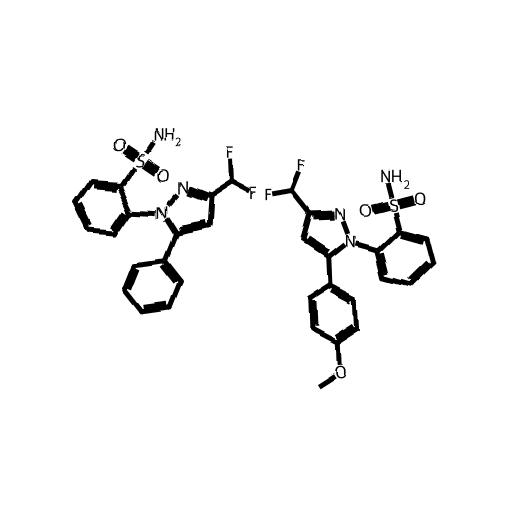 COc1ccc(-c2cc(C(F)F)nn2-c2ccccc2S(N)(=O)=O)cc1.NS(=O)(=O)c1ccccc1-n1nc(C(F)F)cc1-c1ccccc1